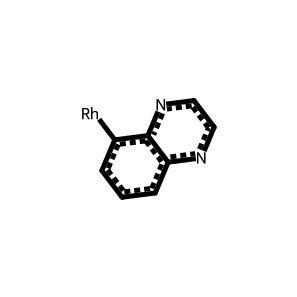 [Rh][c]1cccc2nccnc12